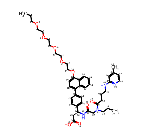 CCCOCCOCCOCCOCCOc1ccc(-c2ccc([C@H](CC(=O)O)NC(=O)CN(CCC)C(=O)CCCNc3cc(C)ccn3)cc2)c2ccccc12